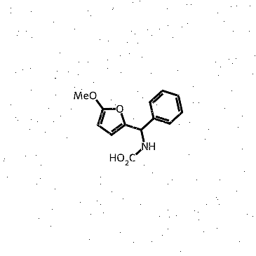 COc1ccc(C(NC(=O)O)c2ccccc2)o1